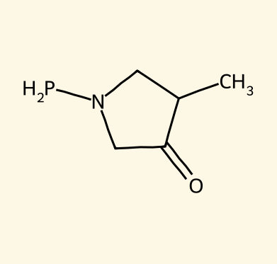 CC1CN(P)CC1=O